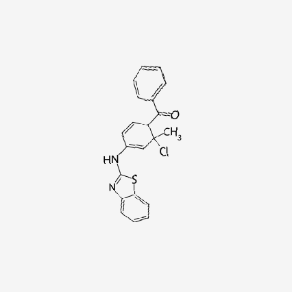 CC1(Cl)C=C(Nc2nc3ccccc3s2)C=CC1C(=O)c1ccccc1